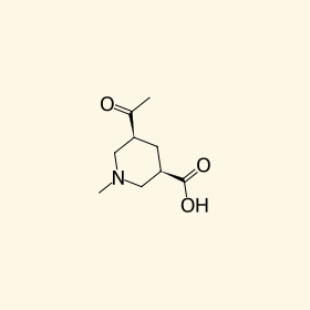 CC(=O)[C@H]1C[C@@H](C(=O)O)CN(C)C1